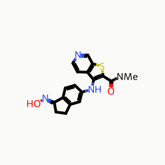 CNC(=O)c1sc2cnccc2c1Nc1ccc2c(c1)CC/C2=N\O